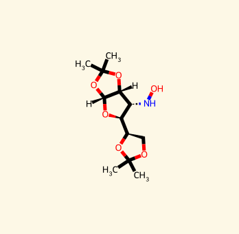 CC1(C)O[C@H]2O[C@H]([C@H]3COC(C)(C)O3)[C@@H](NO)[C@H]2O1